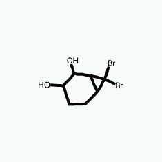 OC1CCC2C(C1O)C2(Br)Br